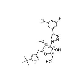 CO[C@@H]1[C@@H](n2cc(-c3cc(F)cc(Cl)c3)nn2)[C@@H](O)[C@@H](CO)O[C@@H]1Cc1cc(C(C)(C)C)on1